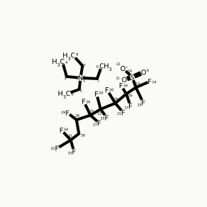 CC[N+](CC)(CC)CC.O=S(=O)([O-])C(F)(F)C(F)(F)C(F)(F)C(F)(F)C(F)(F)C(F)CC(F)(F)F